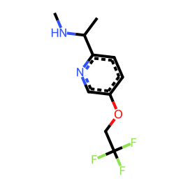 CNC(C)c1ccc(OCC(F)(F)F)cn1